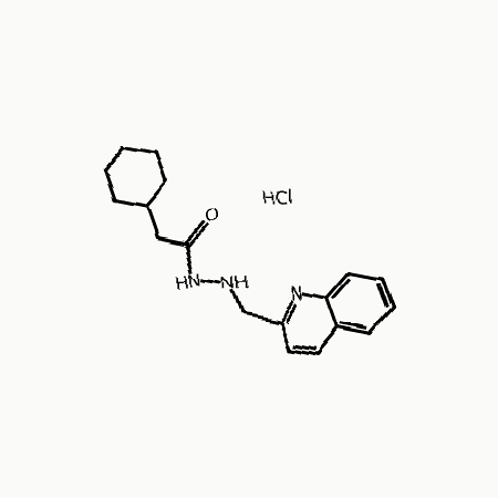 Cl.O=C(CC1CCCCC1)NNCc1ccc2ccccc2n1